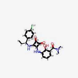 CC[C@H](Nc1c(Nc2cccc(C(=O)N(C)C)c2O)c(=O)c1=O)c1ccc(F)cc1